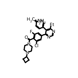 C=C(N)/C=C\C(=C/N)c1c(CC)ncnc1-c1cc(F)c(C(=O)N2CCN(C3CCC3)CC2)c(Cl)c1